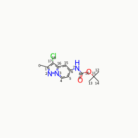 Cc1nn2ccc(NC(=O)OC(C)(C)C)cc2c1Cl